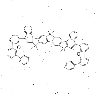 CC1(C)c2cc3c(cc2-c2cc4c(cc21)-c1c(cc(-c2cccc5c2oc2c(-c6ccccc6)cccc25)c2ccccc12)C4(C)C)C(C)(C)c1cc(-c2cccc4c2oc2c(-c5ccccc5)cccc24)c2ccccc2c1-3